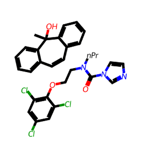 CC1(O)c2ccccc2C=Cc2ccccc21.CCCN(CCOc1c(Cl)cc(Cl)cc1Cl)C(=O)n1ccnc1